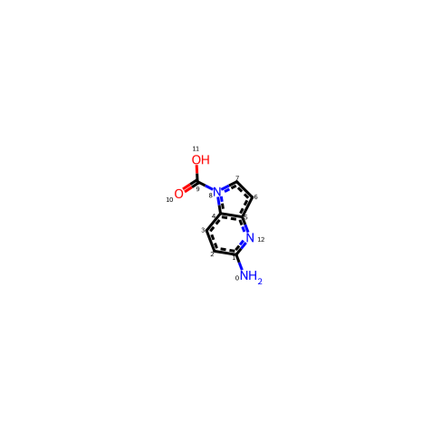 Nc1ccc2c(ccn2C(=O)O)n1